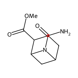 COC(=O)C1CCC2CC1N2C(N)=O